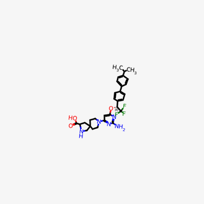 CC(C)c1ccc(-c2ccc([C@@H](Oc3cc(N4CCC5(CC4)CNC(C(=O)O)C5)nc(N)n3)C(F)(F)F)cc2)cc1